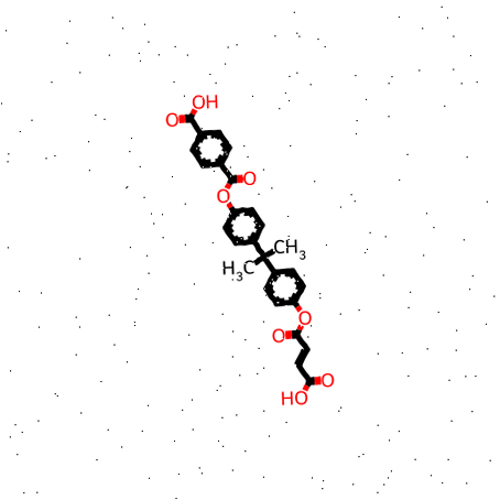 CC(C)(c1ccc(OC(=O)/C=C/C(=O)O)cc1)c1ccc(OC(=O)c2ccc(C(=O)O)cc2)cc1